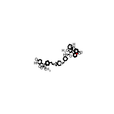 CN1[C@@H](C(=O)N[C@H]2CC[C@H](CN3CCC4(CC3)CN(CCc3ccc5c(c3)n(C)c(=O)n5C3CCC(=O)NC3O)C4)CC2)[C@H](c2cccc(Cl)c2F)[C@]2(C(=O)Nc3cc(Cl)ccc32)C12CCCCC2